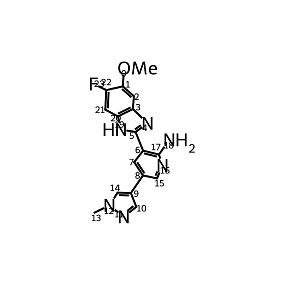 COc1cc2nc(-c3cc(-c4cnn(C)c4)cnc3N)[nH]c2cc1F